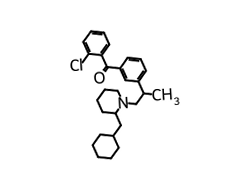 CC(CN1CCCCC1CC1CCCCC1)c1cccc(C(=O)c2ccccc2Cl)c1